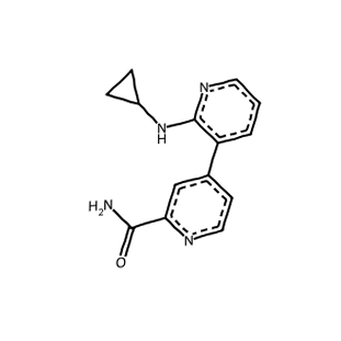 NC(=O)c1cc(-c2cccnc2NC2CC2)ccn1